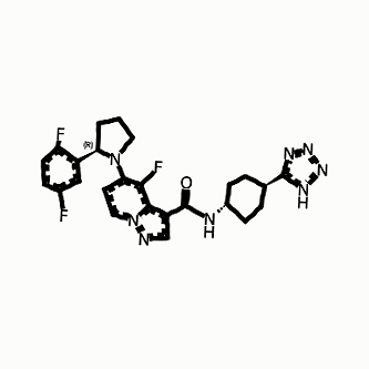 O=C(N[C@H]1CC[C@H](c2nnn[nH]2)CC1)c1cnn2ccc(N3CCC[C@@H]3c3cc(F)ccc3F)c(F)c12